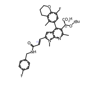 Cc1nc2c(cc(/C=C/C(=O)NCc3ccc(F)cc3)n2C)c(-c2cc(F)c3c(c2C)CCCO3)c1[C@H](OC(C)(C)C)C(=O)O